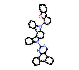 c1ccc2c(c1)oc1c(-n3c4ccccc4c4c5c6ccccc6n(-c6ncc7c8ccccc8c8ccccc8c7n6)c5ccc43)cccc12